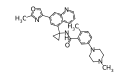 Cc1nc(-c2cc(C3(NC(=O)c4cc(N5CCN(C)CC5)ccc4C)CC3)c3cccnc3c2)co1